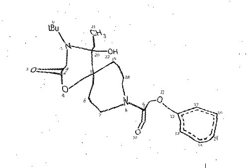 CC(C)(C)N1C(=O)OC2(CCN(C(=O)Oc3ccccc3)CC2)C1(C)O